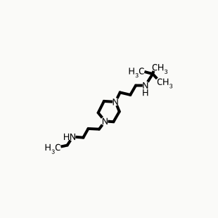 CCNCCCN1CCN(CCCNC(C)(C)C)CC1